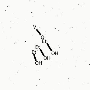 CCO.CCO.CCO.[O][V]